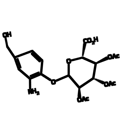 CC(=O)O[C@H]1[C@H](OC(C)=O)[C@@H](OC(C)=O)C(Oc2ccc(CO)cc2N)O[C@@H]1C(=O)O